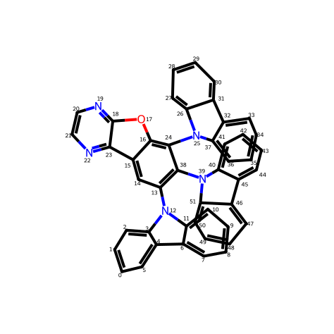 c1ccc2c(c1)c1ccccc1n2-c1cc2c(oc3nccnc32)c(-n2c3ccccc3c3ccccc32)c1-n1c2ccccc2c2ccccc21